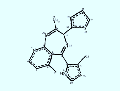 Cc1ccnc2c1C(c1[nH]cnc1C)=NC(c1cccs1)C(N)=N2